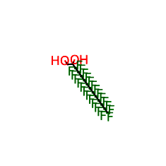 OCC(O)C(F)(F)C(F)(F)C(F)(F)C(F)(F)C(F)(F)C(F)(F)C(F)(F)C(F)(F)C(F)(F)C(F)(F)C(F)(F)C(F)(F)F